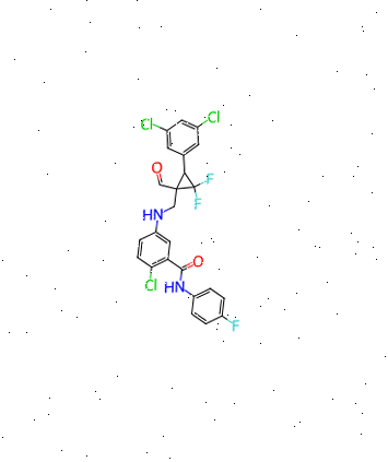 O=CC1(CNc2ccc(Cl)c(C(=O)Nc3ccc(F)cc3)c2)C(c2cc(Cl)cc(Cl)c2)C1(F)F